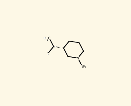 CC(I)[C@@H]1CCCN(C(C)C)C1